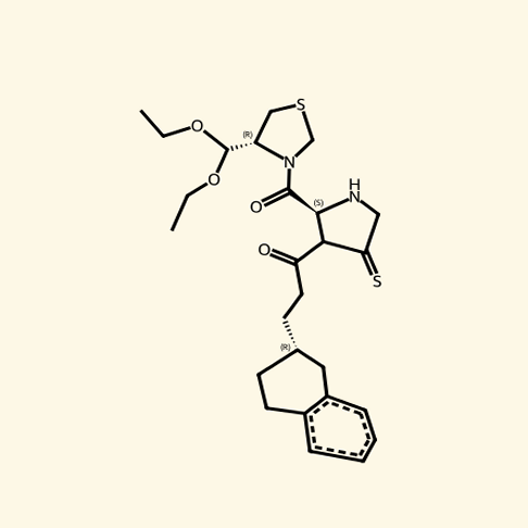 CCOC(OCC)[C@@H]1CSCN1C(=O)[C@H]1NCC(=S)C1C(=O)CC[C@H]1CCc2ccccc2C1